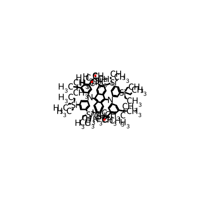 CC[Si](CC)(CC)c1cc(N(c2cc(C(C)(C)C)cc(C(C)(C)C)c2)c2c3ccc([Si](C)(C)C)cc3c(N(c3cc(C(C)(C)C)cc(C(C)(C)C)c3)c3cc([Si](CC)(CC)CC)cc([Si](CC)(CC)CC)c3)c3ccc([Si](C)(C)C)cc23)cc([Si](CC)(CC)CC)c1